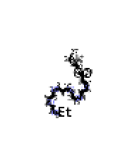 CC/C=C\C/C=C\C/C=C\C/C=C\C/C=C\C/C=C\CC(=O)OCC[N+](C)(C)C